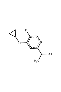 CC(O)c1cc(OC2CC2)c(F)cn1